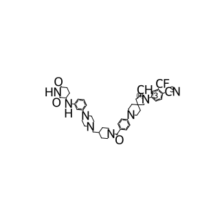 C[C@@H]1CC2(CCN(c3ccc(C(=O)N4CCC(CN5CCN(c6cccc(NC7CCC(=O)NC7=O)c6)CC5)CC4)cc3)CC2)CN1c1ccc(C#N)c(C(F)(F)F)c1